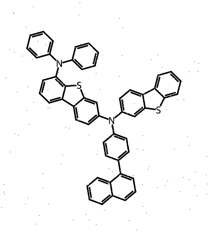 c1ccc(N(c2ccccc2)c2cccc3c2sc2cc(N(c4ccc(-c5cccc6ccccc56)cc4)c4ccc5c(c4)sc4ccccc45)ccc23)cc1